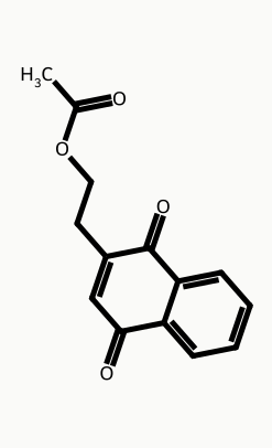 CC(=O)OCCC1=CC(=O)c2ccccc2C1=O